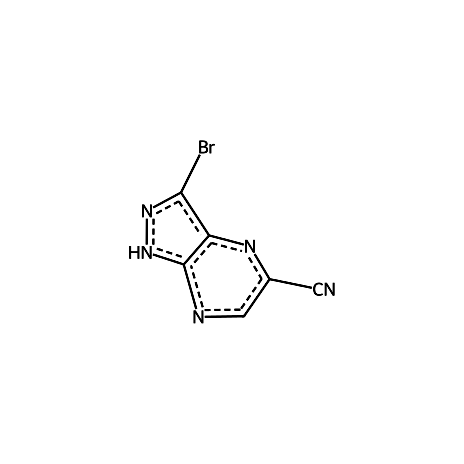 N#Cc1cnc2[nH]nc(Br)c2n1